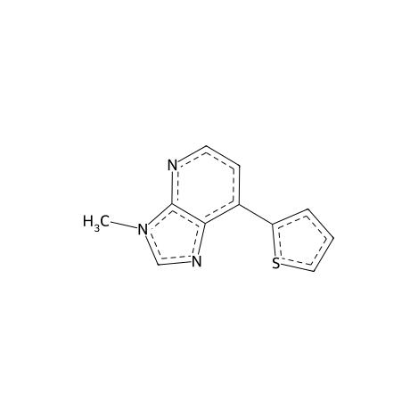 Cn1cnc2c(-c3cccs3)ccnc21